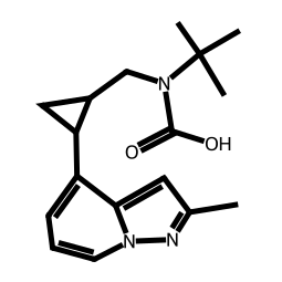 Cc1cc2c(C3CC3CN(C(=O)O)C(C)(C)C)cccn2n1